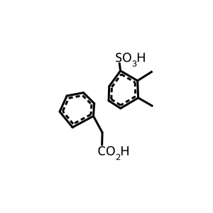 Cc1cccc(S(=O)(=O)O)c1C.O=C(O)Cc1ccccc1